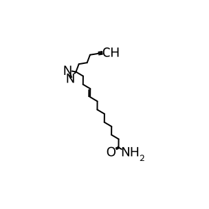 C#CCCCC1(CCC=CCCCCCCCC(N)=O)N=N1